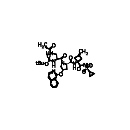 C=CC(=O)NC[C@H](NC(=O)OC(C)(C)C)C(=O)N1C[C@H](Oc2nccc3ccccc23)C[C@H]1C(=O)NC1(C(=O)NS(=O)(=O)C2CC2)CC(=C)C1